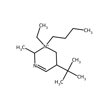 CCCC[N+]1(CC)CC(C(C)(C)C)C=NC1C